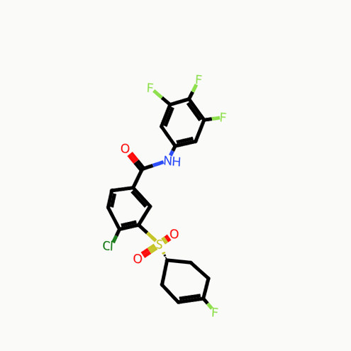 O=C(Nc1cc(F)c(F)c(F)c1)c1ccc(Cl)c(S(=O)(=O)[C@H]2CC=C(F)CC2)c1